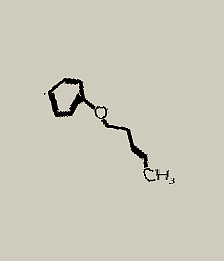 CC=CCCOc1cc[c]cc1